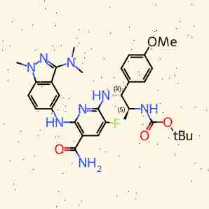 COc1ccc([C@@H](Nc2nc(Nc3ccc4c(c3)c(N(C)C)nn4C)c(C(N)=O)cc2F)[C@H](C)NC(=O)OC(C)(C)C)cc1